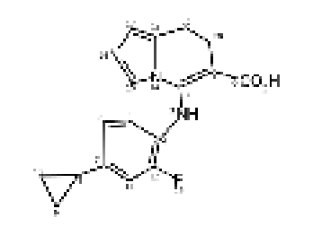 O=C(O)C1=C(Nc2ccc(C3CC3)cc2F)n2cncc2CC1